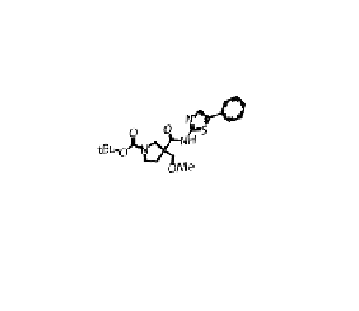 COCC1(C(=O)Nc2ncc(-c3ccccc3)s2)CCN(C(=O)OC(C)(C)C)C1